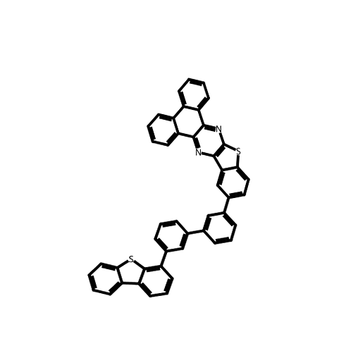 c1cc(-c2cccc(-c3cccc4c3sc3ccccc34)c2)cc(-c2ccc3sc4nc5c6ccccc6c6ccccc6c5nc4c3c2)c1